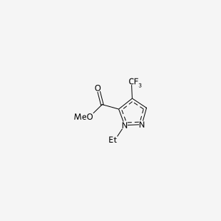 CCn1ncc(C(F)(F)F)c1C(=O)OC